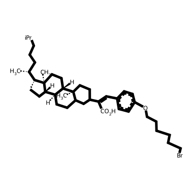 CC(C)CCC[C@@H](C)[C@H]1CC[C@H]2[C@@H]3CCC4CC(C(=Cc5ccc(OCCCCCCBr)cc5)C(=O)O)CC[C@]4(C)[C@H]3CC[C@]12C